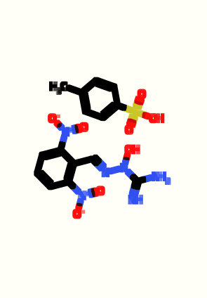 Cc1ccc(S(=O)(=O)O)cc1.N=C(N)N(O)N=Cc1c([N+](=O)[O-])cccc1[N+](=O)[O-]